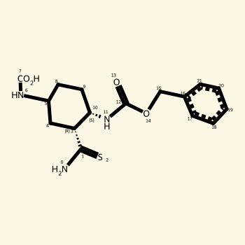 NC(=S)[C@@H]1CC(NC(=O)O)CC[C@@H]1NC(=O)OCc1ccccc1